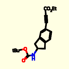 CCOC(=O)C#Cc1ccc2c(c1)CC(NC(=O)OC(C)(C)C)C2